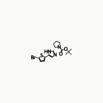 CC(C)(C)OC(=O)N1CCC[C@H]1c1ncc(C2=C=C=C(Br)S2)[nH]1